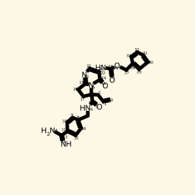 C=CCC1(C(=O)NCc2ccc(C(=N)N)cc2)CCc2ncc(NC(=O)OCc3ccccc3)c(=O)n21